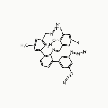 Cc1cc(CN=[N+]=[N-])cc(-c2cccc(-c3cc(N=[N+]=[N-])cc(N=[N+]=[N-])c3)c2/N=C/c2cc(I)cc(I)c2ON)c1